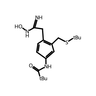 CC(C)(C)SCc1cc(NC(=O)C(C)(C)C)ccc1CC(=N)NO